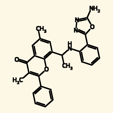 Cc1cc(C(C)Nc2ccccc2-c2nnc(N)o2)c2oc(-c3ccccc3)c(C)c(=O)c2c1